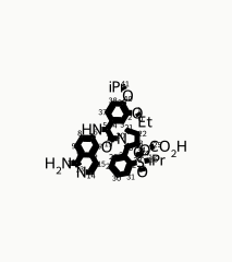 CCOc1cc(C(Nc2ccc3c(N)nccc3c2)C(=O)N2CCC(OC(=O)O)C2c2ccccc2S(=O)(=O)C(C)C)ccc1OC(C)C